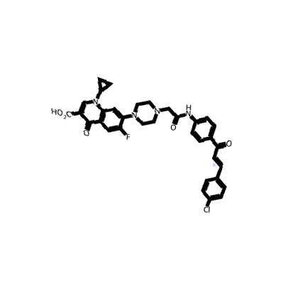 O=C(CN1CCN(c2cc3c(cc2F)c(=O)c(C(=O)O)cn3C2CC2)CC1)Nc1ccc(C(=O)/C=C/c2ccc(Cl)cc2)cc1